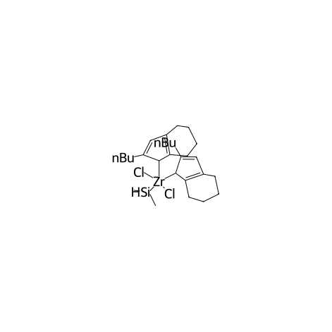 CCCCC1=CC2=C(CCCC2)[CH]1[Zr]([Cl])([Cl])([CH]1C(CCCC)=CC2=C1CCCC2)[SiH](C)C